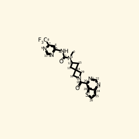 CN(C(=O)Nc1cc(C(F)(F)F)ncn1)C1CC2(C1)CN(C(=O)c1ncnc3ccsc13)C2